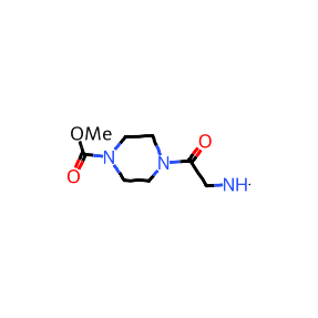 COC(=O)N1CCN(C(=O)C[NH])CC1